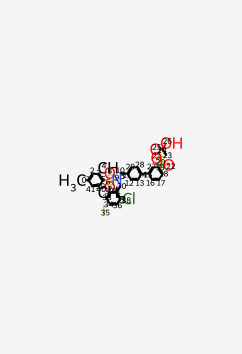 Cc1cc(C)c(S(=O)(=O)N(Cc2ccc(-c3cccc(S(=O)(=O)CC(=O)O)c3)cc2)Cc2ccc(F)cc2Cl)c(C)c1